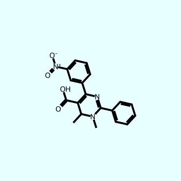 CC1C(C(=O)O)=C(c2cccc([N+](=O)[O-])c2)N=C(c2ccccc2)N1C